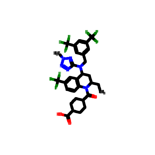 CCC1CC(N(Cc2cc(C(F)(F)F)cc(C(F)(F)F)c2)c2nnn(C)n2)c2cc(C(F)(F)F)ccc2N1C(=O)C1CCC(C(=O)O)CC1